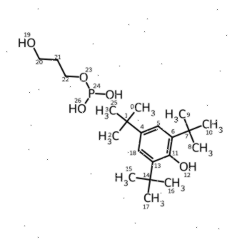 CC(C)(C)c1cc(C(C)(C)C)c(O)c(C(C)(C)C)c1.OCCCOP(O)O